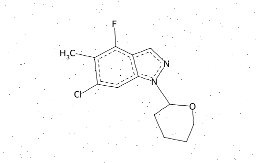 Cc1c(Cl)cc2c(cnn2C2CCCCO2)c1F